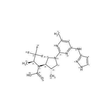 Cc1cc(Nc2cc[nH]n2)nc(N2C[C@H](C)[C@@H](N(C(=O)O)[C@@H](C)C(F)(F)F)C2)n1